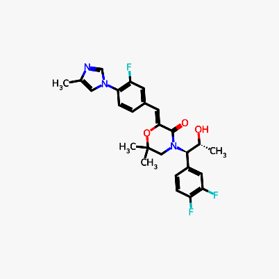 Cc1cn(-c2ccc(C=C3OC(C)(C)CN([C@H](c4ccc(F)c(F)c4)[C@@H](C)O)C3=O)cc2F)cn1